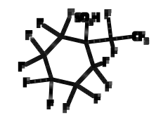 O=S(=O)(O)C1(C(F)(F)C(F)(F)F)C(F)(F)C(F)(F)C(F)(F)C(F)(F)C1(F)F